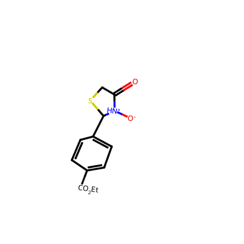 CCOC(=O)c1ccc(C2SCC(=O)[NH+]2[O-])cc1